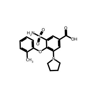 Cc1ccccc1Oc1c(N2CCCC2)cc(C(=O)O)cc1S(N)(=O)=O